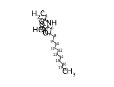 C=CC(=O)NC(CCCCCCCCCCCCC)S(=O)(=O)O